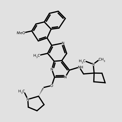 COc1cc(-c2ncc3c(NCC4(N(C)C)CCC4)nc(OC[C@@H]4CCCN4C)nc3c2C)c2ccccc2c1